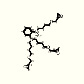 CC(=O)N(CCCCOCC1CO1)c1ccccc1N(CCCCOCC1CO1)CCCCOCC1CO1